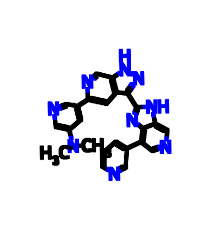 CN(C)c1cncc(-c2cc3c(-c4nc5c(-c6cccnc6)cncc5[nH]4)n[nH]c3cn2)c1